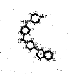 CC(=O)N1CCC(Nc2ccc(C(=O)N3CCC(N4CCc5ccccc5C4)CC3)cc2)CC1